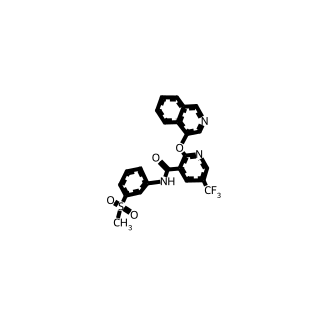 CS(=O)(=O)c1cccc(NC(=O)c2cc(C(F)(F)F)cnc2Oc2cncc3ccccc23)c1